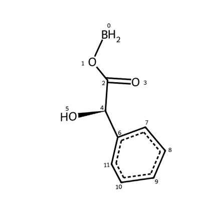 BOC(=O)[C@H](O)c1ccccc1